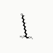 CCC(C)CCCCCCCCCCC=O